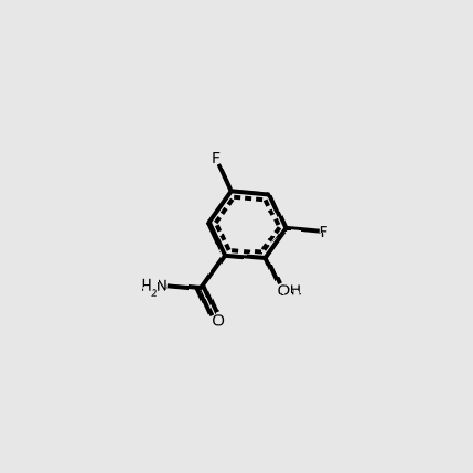 NC(=O)c1cc(F)cc(F)c1O